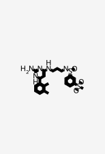 Cc1cccc(C2C=C(NCCC/N=[SH](=O)\c3cccc(S(C)(=O)=O)c3)N=C(N)N2)c1C